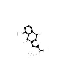 COC(C)c1cc2c(o1)C(=O)c1cccc(O)c1C2=O